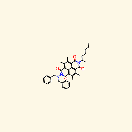 CCCCCC(C)N1C(=O)c2c(C)c(C)c3c4c(c(C)c(C)c(c24)C1=O)C(=O)N(N(Cc1ccccc1)Cc1ccccc1)C3=O